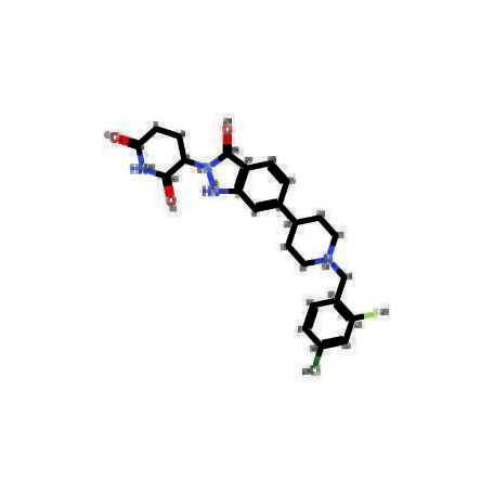 O=C1CCC(n2[nH]c3cc(C4CCN(Cc5ccc(Cl)cc5F)CC4)ccc3c2=O)C(=O)N1